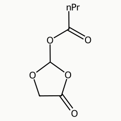 CCCC(=O)OC1OCC(=O)O1